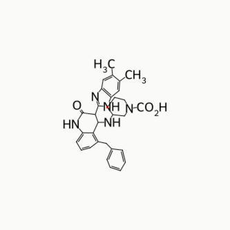 Cc1cc2nc(C3C(=O)Nc4cccc(Cc5ccccc5)c4C3NC3CCCN(C(=O)O)C3)[nH]c2cc1C